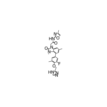 Cc1cc(-c2cc(C)c(OCc3nnc[nH]3)c(F)c2)c2c(c1)n(CC(=O)Nc1nc(C)co1)c(=O)n2C